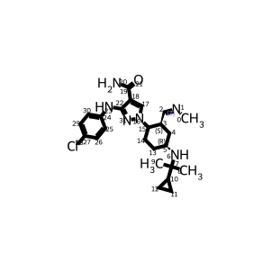 C/N=C\[C@H]1C[C@H](NC(C)(C)C2CC2)CCC1n1cc(C(N)=O)c(Nc2ccc(Cl)cc2)n1